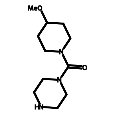 COC1CCN(C(=O)N2CCNCC2)CC1